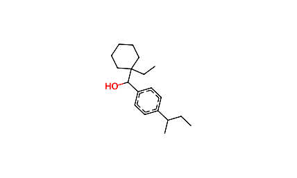 CCC(C)c1ccc(C(O)C2(CC)CCCCC2)cc1